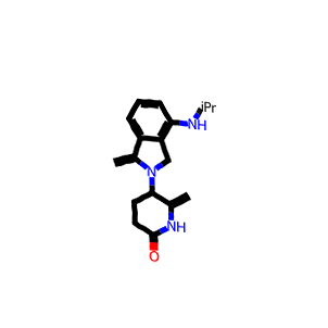 C=C1NC(=O)CCC1N1Cc2c(NC(C)C)cccc2C1=C